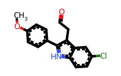 COc1ccc(-c2[nH]c3ccc(Cl)cc3c2CC=O)cc1